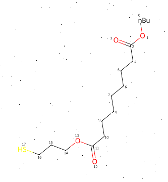 CCCCOC(=O)CCCCCCCC(=O)OCCCS